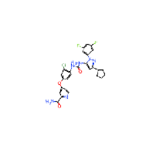 NC(=O)c1cc(Oc2ccc(NC(=O)Nc3cc(C4CCCC4)nn3-c3cc(F)cc(F)c3)c(Cl)c2)ccn1